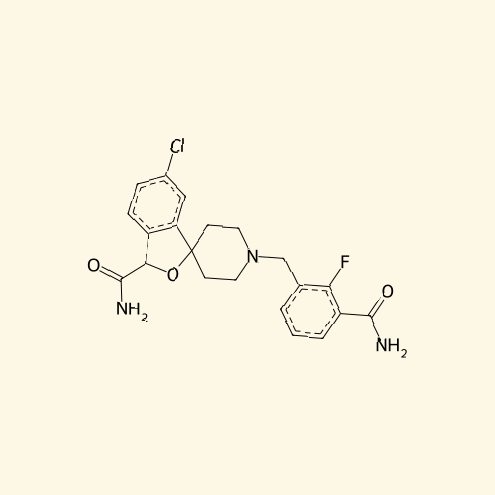 NC(=O)c1cccc(CN2CCC3(CC2)OC(C(N)=O)c2ccc(Cl)cc23)c1F